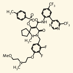 COCCN(C)CCOc1ccc(CN2C(=O)C(C(=O)Nc3ccc(C(F)(F)F)cc3-c3cc(C(F)(F)F)ncn3)=C(OS(=O)(=O)c3ccc(C)cc3)C3(CCCC3)N2C)c(F)c1F